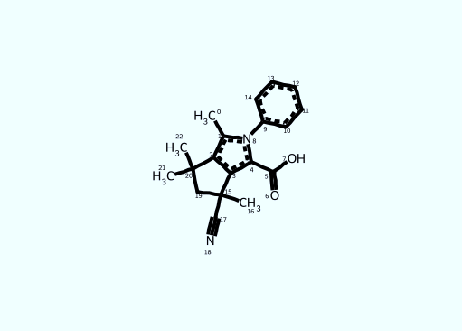 Cc1c2c(c(C(=O)O)n1-c1ccccc1)C(C)(C#N)CC2(C)C